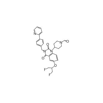 O=CN1CCC(n2c(=O)n(Cc3ccc(-c4ccccn4)cc3)c(=O)c3cc(OC(CF)CF)ccc32)CC1